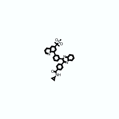 CC(C)(c1cc(-c2cccc(-c3nc4ccccc4nc3-c3ccc(C(=O)NC4CC4)cc3)c2)c2ncccc2c1)S(C)(=O)=O